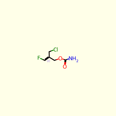 NC(=O)OC/C(=C/F)CCl